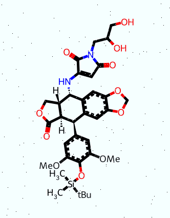 COc1cc([C@@H]2c3cc4c(cc3[C@@H](NC3=CC(=O)N(CC(O)CO)C3=O)[C@H]3COC(=O)[C@H]23)OCO4)cc(OC)c1O[Si](C)(C)C(C)(C)C